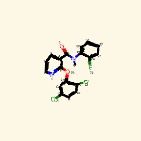 CN(C(=O)c1cccnc1Oc1cc(Cl)ccc1Cl)c1ccccc1F